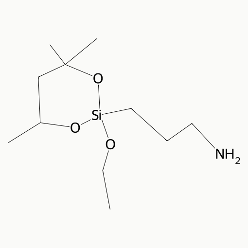 CCO[Si]1(CCCN)OC(C)CC(C)(C)O1